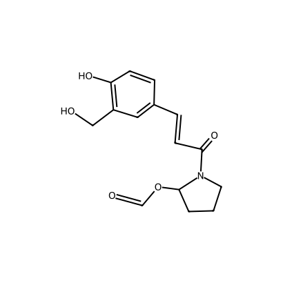 O=COC1CCCN1C(=O)/C=C/c1ccc(O)c(CO)c1